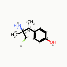 C[C@H](c1ccc(O)cc1)[C@@](C)(N)CF